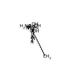 CCCCCCCCCCCCCCCCCCCC[C@H](COP(=O)(O)OC[C@@]1(C#N)O[C@@H](c2ccc3c(N)ncnn23)[C@H](O)[C@@H]1O)Oc1ccc(C#N)nc1